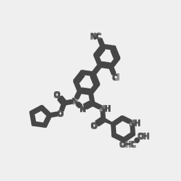 N#Cc1ccc(Cl)c(-c2ccc3c(c2)c(NC(=O)[C@@H]2CCCNC2)nn3C(=O)OC2CCCC2)c1.O=CO